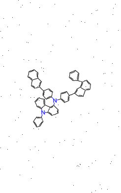 c1ccc(-c2cccc3ccc(-c4ccc(N(c5ccc(-c6ccc7ccccc7c6)cc5)c5cccc6c5c5ccccc5n6-c5ccccc5)cc4)cc23)cc1